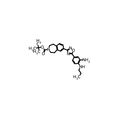 CCCNc1ccc(-c2nc(-c3ccc4c(c3)CCN(C(=O)OC(C)(C)C)CC4)no2)cc1N